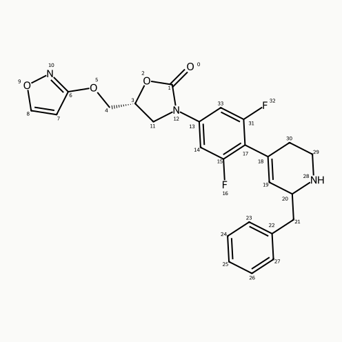 O=C1O[C@@H](COc2ccon2)CN1c1cc(F)c(C2=CC(Cc3ccccc3)NCC2)c(F)c1